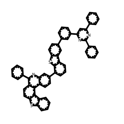 c1ccc(-c2cc(-c3cccc(-c4ccc5sc6c(-c7ccc8c(c7)nc(-c7ccccc7)c7ccc9sc%10ccccc%10c9c78)cccc6c5c4)c3)nc(-c3ccccc3)n2)cc1